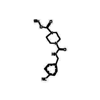 CC(C)(C)OC(=O)N1CCN(C(=O)NCc2ccc(C#N)cc2)CC1